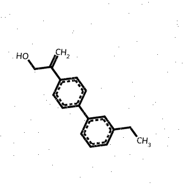 C=C(CO)c1ccc(-c2cccc(CC)c2)cc1